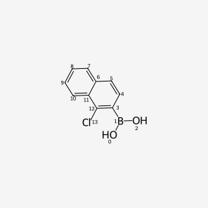 OB(O)c1ccc2ccccc2c1Cl